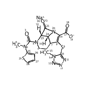 CN(C(=O)N1CCC2C(Sc3nnnn3C)=C(C(=O)[O-])N3C(=O)[C@@H]1[C@@H]23)c1cccs1.[Na+]